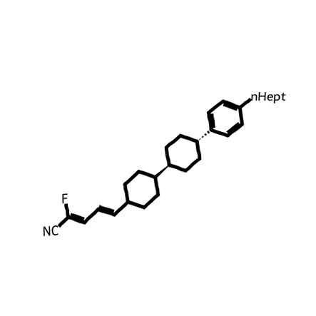 CCCCCCCc1ccc([C@H]2CC[C@H](C3CCC(/C=C/C=C(\F)C#N)CC3)CC2)cc1